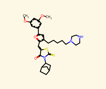 COc1cc(OC)cc(-c2cc(CCCCCN3CCNCC3)c(/C=C3\SC(=S)N(C4CC5CCC4C5)C3=O)o2)c1